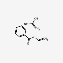 C=C(C#N)C#N.C=COC(=O)c1ccccc1